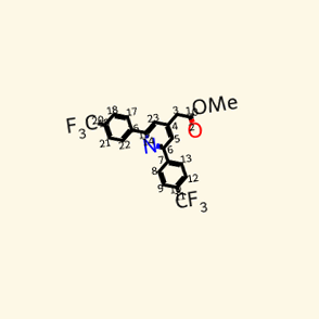 COC(=O)Cc1cc(-c2ccc(C(F)(F)F)cc2)nc(-c2ccc(C(F)(F)F)cc2)c1